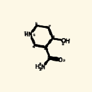 NC(=O)C1CNCCC1O